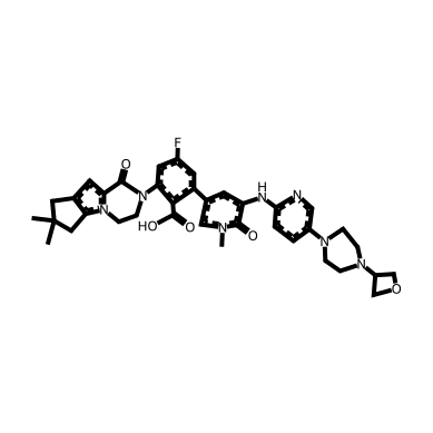 Cn1cc(-c2cc(F)cc(N3CCn4c(cc5c4CC(C)(C)C5)C3=O)c2C(=O)O)cc(Nc2ccc(N3CCN(C4COC4)CC3)cn2)c1=O